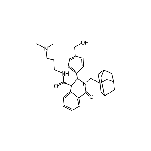 CN(C)CCCNC(=O)[C@@H]1c2ccccc2C(=O)N(CC23CC4CC(CC(C4)C2)C3)[C@H]1c1ccc(CO)cc1